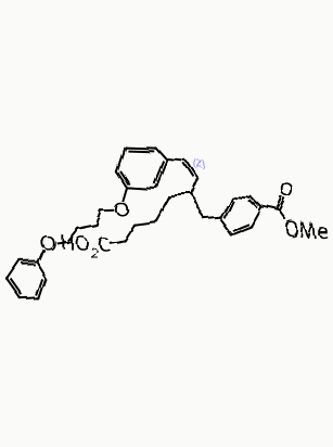 COC(=O)c1ccc(CC(/C=C\c2cccc(OCCCCOc3ccccc3)c2)CCCCC(=O)O)cc1